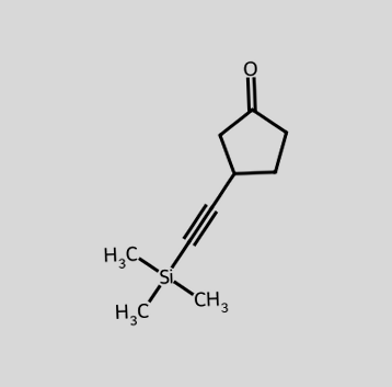 C[Si](C)(C)C#CC1CCC(=O)C1